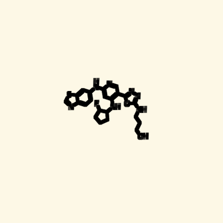 OCCCNc1nnc(-c2cnc(Nc3ccc4ncsc4c3)cc2NC2CCCC2F)o1